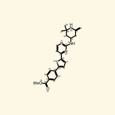 C=C1CC(Nc2nccc(-c3ccc(-c4ccc(C(=O)OC)cc4)s3)n2)CC(C)(C)N1